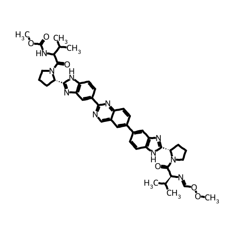 COO/C=N/[C@H](C(=O)N1CCC[C@H]1c1nc2cc(-c3ccc4nc(-c5ccc6[nH]c([C@@H]7CCCN7C(=O)C(NC(=O)OC)C(C)C)nc6c5)ncc4c3)ccc2[nH]1)C(C)C